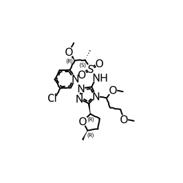 COCCC(OC)n1c(NS(=O)(=O)[C@@H](C)[C@H](OC)c2ccc(Cl)cn2)nnc1[C@H]1CC[C@@H](C)O1